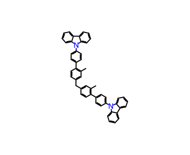 Cc1cc(Cc2ccc(-c3ccc(-n4c5ccccc5c5ccccc54)cc3)c(C)c2)ccc1-c1ccc(-n2c3ccccc3c3ccccc32)cc1